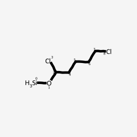 [SiH3]OC(Cl)CCCCCl